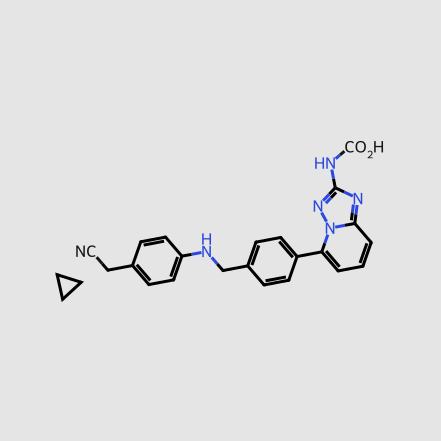 C1CC1.N#CCc1ccc(NCc2ccc(-c3cccc4nc(NC(=O)O)nn34)cc2)cc1